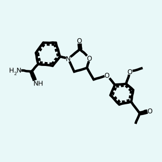 COc1cc(C(C)=O)ccc1OCC1CN(c2cccc(C(=N)N)c2)C(=O)O1